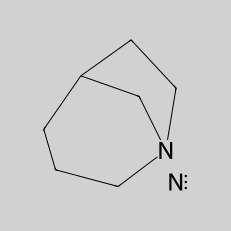 C1CC2CCN(C1)C2.[N]